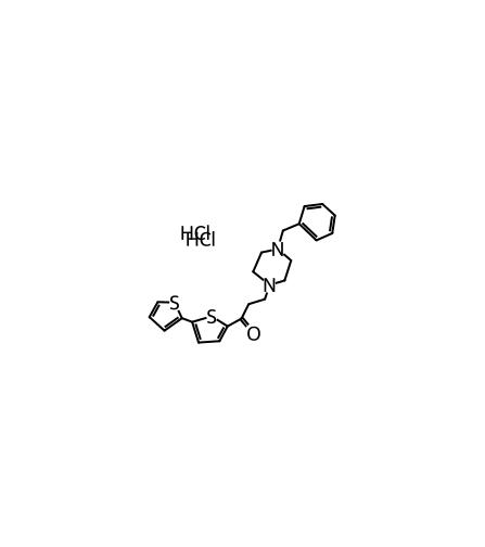 Cl.Cl.O=C(CCN1CCN(Cc2ccccc2)CC1)c1ccc(-c2cccs2)s1